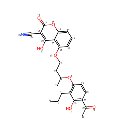 CCCc1c(OC(C)CCOc2cccc3oc(=O)c(C#N)c(O)c23)ccc(C(C)=O)c1O